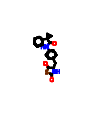 O=C1NC(Cc2ccc(NC(=O)C3(c4ccccc4)CC3)cc2)C(=O)S1